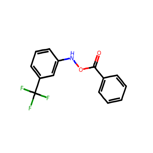 O=C(ONc1cccc(C(F)(F)F)c1)c1ccccc1